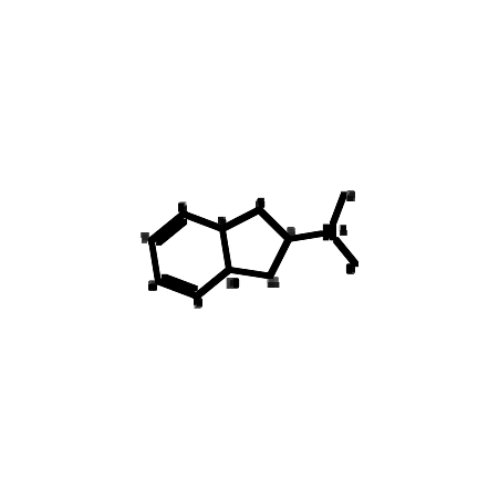 CN(C)C1CC2C=CC=CC2C1